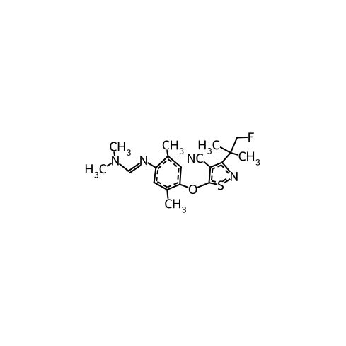 Cc1cc(Oc2snc(C(C)(C)CF)c2C#N)c(C)cc1N=CN(C)C